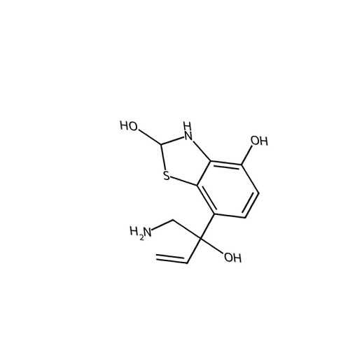 C=CC(O)(CN)c1ccc(O)c2c1SC(O)N2